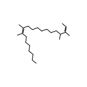 CC=C(C)C(C)CCCCCCCC(C)=C(C)CCCCCCC